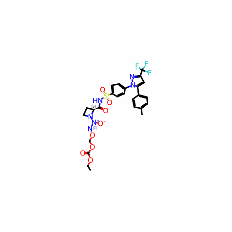 CCOC(=O)OCO/N=[N+](\[O-])N1CC[C@H]1C(=O)NS(=O)(=O)c1ccc(-n2nc(C(F)(F)F)cc2-c2ccc(C)cc2)cc1